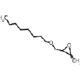 C=C1OC1COCCCCCCCC